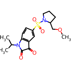 COCC1CCCN1S(=O)(=O)c1ccc2c(c1)C(=O)C(=O)N2C(C)C